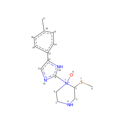 CSC1CNCC[N+]1([O-])c1ncc(-c2ccc(C)cc2)[nH]1